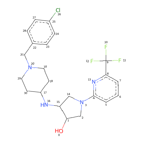 OC1CN(c2cccc(C(F)(F)F)n2)CC1NC1CCN(Cc2ccc(Cl)cc2)CC1